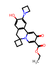 CCOC(=O)c1cn2c(cc1=O)-c1cc(N3CCC3)c(O)cc1CC21CCC1